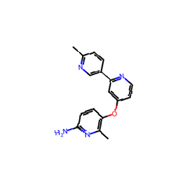 Cc1ccc(-c2cc(Oc3ccc(N)nc3C)ccn2)cn1